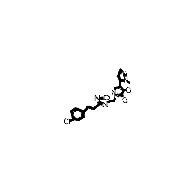 Cn1nccc1-c1cnn(Cc2nc(CCc3ccc(Cl)cc3)no2)c(=O)c1Cl